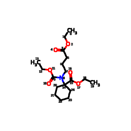 CCOC(=O)CCCN(C(=O)OCC)C1(C(=O)OCC)CCCCC1